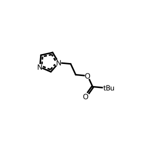 CC(C)(C)C(=O)OCCn1ccnc1